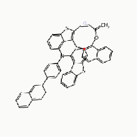 C=C1/C=C\c2sc3cccc(N(c4ccc(C5C=c6ccccc6=CC5)cc4)c4cccc5sc6ccccc6c45)c3c2Cc2ccc3ccccc3c2O1